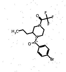 CCCC1CN(C(=O)C(F)(F)F)CCN1[S+]([O-])c1ccc(Br)cc1